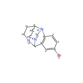 Brc1ccc2c(c1)C1N=CN2C2CCN1CC2